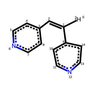 [2H]C(=Cc1ccncc1)c1ccncc1